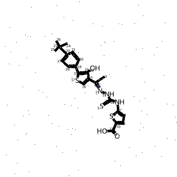 C/C(=N\NC(=S)Nc1ccc(C(=O)O)s1)c1csc(-c2ccc(C(C)(C)C)cc2)c1O